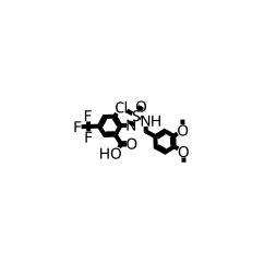 COc1ccc(CNS(C)(=O)=Nc2c(Cl)cc(C(F)(F)F)cc2C(=O)O)cc1OC